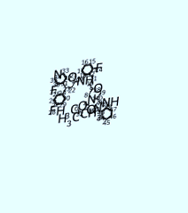 CC(C)(C)OC(=O)N1C[C@@H](CCc2c(F)cccc2NC(=O)C[C@@H](c2ccc(F)cc2)c2ccncc2F)OC[C@H]1c1nc2ccccc2[nH]1